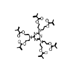 C=C(C)C(=O)OCCN(CCOC(=O)C(=C)C)c1nc(N(CCOC(=O)C(=C)C)CCOC(=O)C(=C)C)nc(N(CCOC(=O)C(=C)C)CCOC(=O)C(=C)C)n1